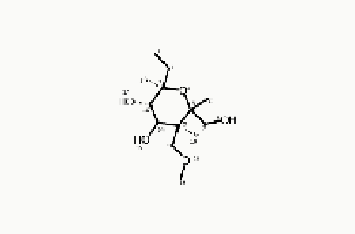 CC[C@@]1(C)OC(C)(CO)[C@@](C)(COC)C(O)[C@@H]1O